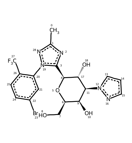 Cc1nc([C@@H]2O[C@H](CO)[C@H](O)[C@H](n3cccn3)[C@H]2O)n(-c2cc(Br)ccc2C(F)(F)F)n1